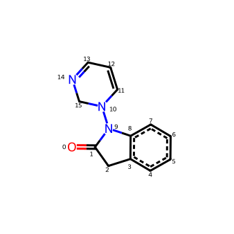 O=C1Cc2ccccc2N1N1C=CC=NC1